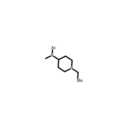 CC(=O)N(C)C1CCN(CC(C)(C)C)CC1